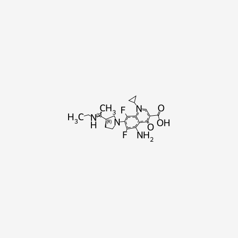 CCN[C@@H](C)[C@@H]1CCN(c2c(F)c(N)c3c(=O)c(C(=O)O)cn(C4CC4)c3c2F)C1